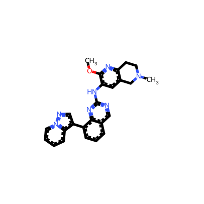 COc1nc2c(cc1Nc1ncc3cccc(-c4cnn5ccccc45)c3n1)CN(C)CC2